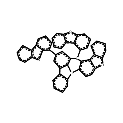 c1ccc2c(c1)B1c3ccc4oc5ccccc5c4c3N(c3cccc4oc5ccccc5c34)c3cc(-c4cccc5c4sc4ccccc45)cc-2c31